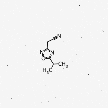 CC(C)c1nc(CC#N)no1